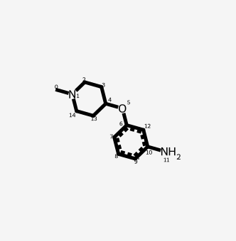 CN1CCC(Oc2cc[c]c(N)c2)CC1